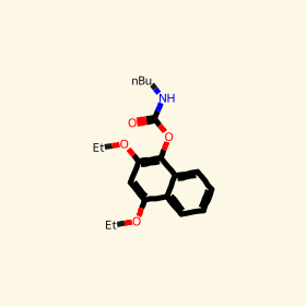 CCCCNC(=O)Oc1c(OCC)cc(OCC)c2ccccc12